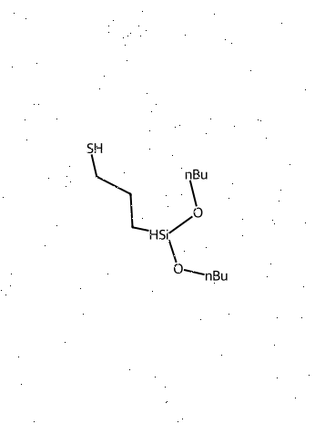 CCCCO[SiH](CCCS)OCCCC